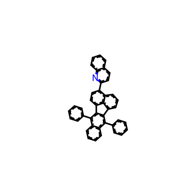 c1ccc(-c2c3c(c(-c4ccccc4)c4ccccc24)-c2ccc(-c4ccc5ccccc5n4)c4cccc-3c24)cc1